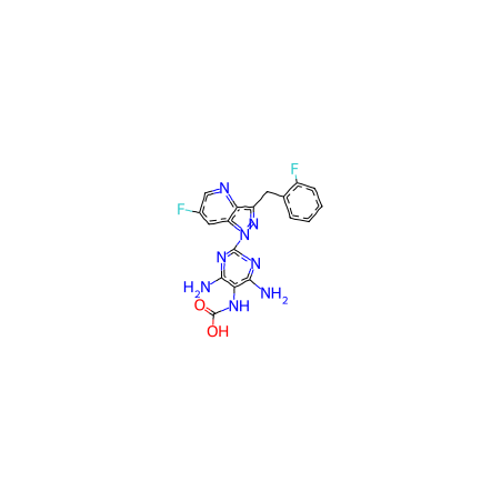 Nc1nc(-n2nc(Cc3ccccc3F)c3ncc(F)cc32)nc(N)c1NC(=O)O